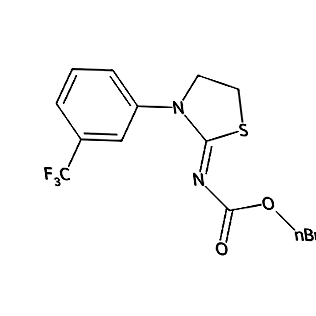 CCCCOC(=O)N=C1SCCN1c1cccc(C(F)(F)F)c1